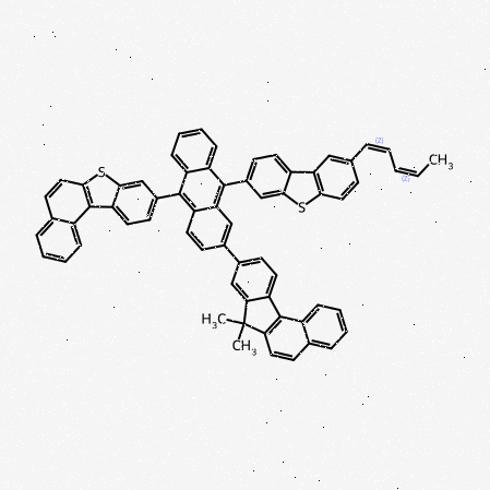 C/C=C\C=C/c1ccc2sc3cc(-c4c5ccccc5c(-c5ccc6c(c5)sc5ccc7ccccc7c56)c5ccc(-c6ccc7c(c6)C(C)(C)c6ccc8ccccc8c6-7)cc45)ccc3c2c1